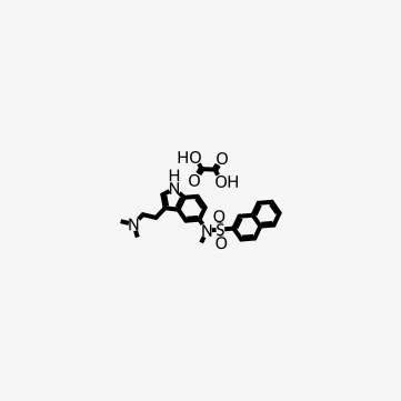 CN(C)CCc1c[nH]c2ccc(N(C)S(=O)(=O)c3ccc4ccccc4c3)cc12.O=C(O)C(=O)O